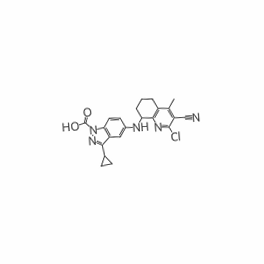 Cc1c(C#N)c(Cl)nc2c1CCCC2Nc1ccc2c(c1)c(C1CC1)nn2C(=O)O